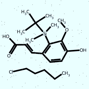 CCCCCCl.COc1c(O)ccc(C=CC(=O)O)c1[Si](C)(C)C(C)(C)C